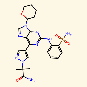 CC(C)(C(N)=O)n1cc(-c2nc(Nc3ccccc3S(N)(=O)=O)nc3c2ncn3C2CCCCO2)cn1